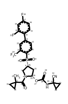 CC1(C(=O)N2C[C@H](S(=O)(=O)c3ccc(-c4ccc(F)cc4F)cc3C(F)(F)F)C[C@@H]2OC(=O)NC2(C#N)CC2)CC1